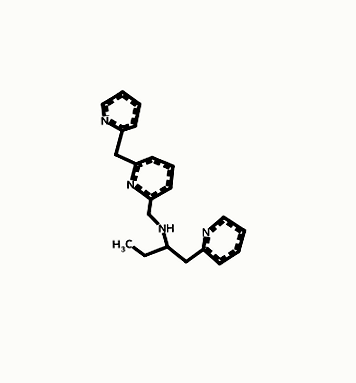 CCC(Cc1ccccn1)NCc1cccc(Cc2ccccn2)n1